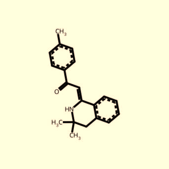 Cc1ccc(C(=O)C=C2NC(C)(C)Cc3ccccc32)cc1